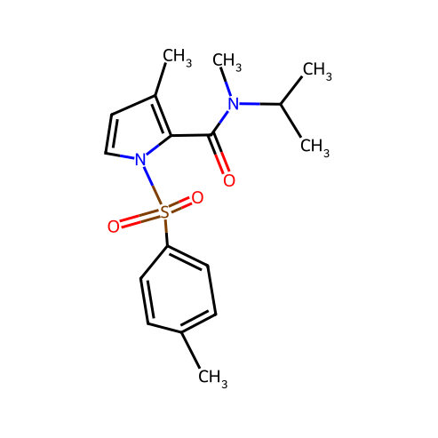 Cc1ccc(S(=O)(=O)n2ccc(C)c2C(=O)N(C)C(C)C)cc1